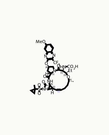 CC[C@@H]1O[C@H](C)CC/C=C\[C@@H]2C[C@@]2(C(=O)NS(=O)(=O)C2(C)CC2)NC(=O)[C@@H]2C[C@@H](Oc3nc4cc(OC)ccc4nc3C(F)(F)F)CN2C(=O)[C@H]1NC(=O)O